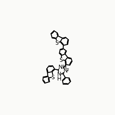 NC(N/C(=N\Cc1cccc2c1sc1ccc(-c3cccc4c3sc3ccccc34)cc12)c1ccccc1)c1cccc2c1sc1ccccc12